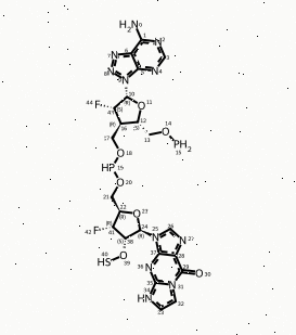 Nc1ncnc2c1nnn2[C@@H]1O[C@H](COP)[C@@H](COPOC[C@H]2O[C@@H](n3cnc4c(=O)n5cc[nH]c5nc43)[C@H](OS)[C@@H]2F)[C@@H]1F